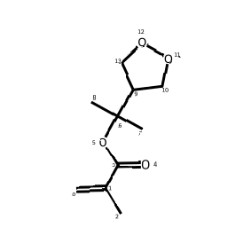 C=C(C)C(=O)OC(C)(C)C1COOC1